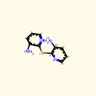 Nc1cccnc1Sc1ncccc1N